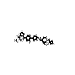 CC1(CN2CCC(COc3ccc(-c4ccc(C(=O)N5CCC[C@H]5C(N)=O)cc4F)cc3)CC2)CCC1